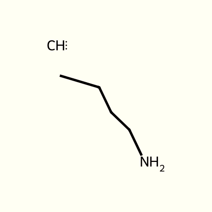 CCCCN.[CH]